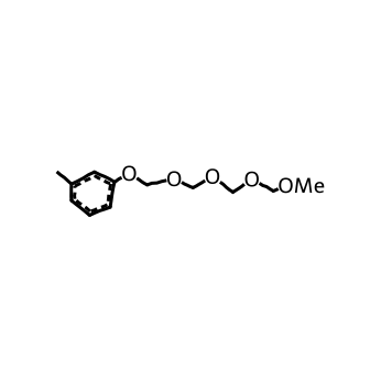 COCOCOCOCOc1cccc(C)c1